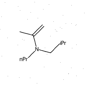 C=C(C)N(CCC)CC(C)C